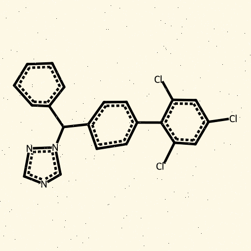 Clc1cc(Cl)c(-c2ccc(C(c3ccccc3)n3cncn3)cc2)c(Cl)c1